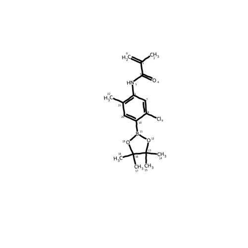 C=C(C)C(=O)Nc1cc(Cl)c(B2OC(C)(C)C(C)(C)O2)cc1C